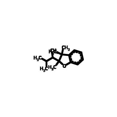 CC(C)C(C)C1(C)Oc2ccccc2C1(C)C